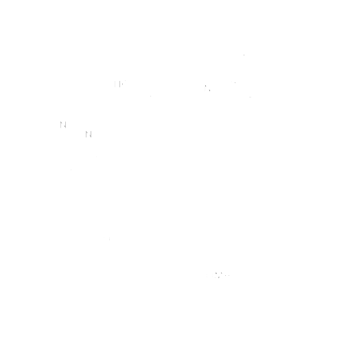 COC1CCC(Oc2ccc(-n3nccc3CC3(O)CCN(C(=O)C4(C)CC4)CC3)cc2)CC1